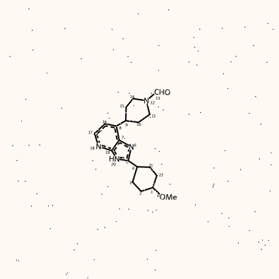 COC1CCC(c2nc3c(C4CCN(C=O)CC4)ccnc3[nH]2)CC1